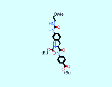 COCCNC(=O)Nc1ccc(C[C@H](NC(=O)OC(C)(C)C)C(=O)Nc2ccc(C(=O)OC(C)(C)C)cc2)cc1